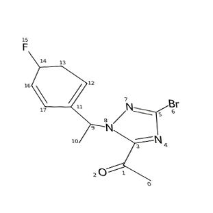 CC(=O)c1nc(Br)nn1C(C)C1=CCC(F)C=C1